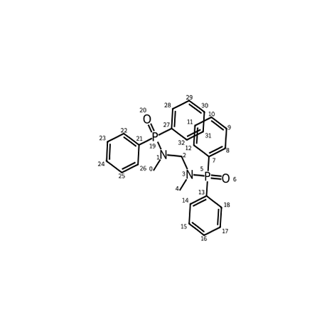 CN(CN(C)P(=O)(c1ccccc1)c1ccccc1)P(=O)(c1ccccc1)c1ccccc1